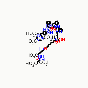 O=C(O)CCC(NC(=O)N[C@@H](CCCCNOCCCCCCCC(=O)NC(CCCCNC(=O)C(Cc1ccccc1)NC(=O)C(Cc1ccccc1)NC(=O)C(Cc1ccccc1)NC(=S)Nc1ccc(CC2CN(CC(=O)O)CCN(CC(=O)O)CCN2CC(=O)O)cc1)C(O)O)C(=O)O)C(=O)O